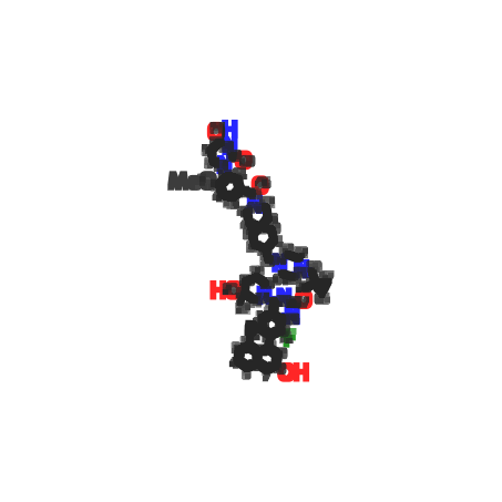 C#Cc1cccc2cc(O)cc(-c3ccc4c(N5CCC[C@@](C)(O)C5)nc(OCC5(CN6CCN(CC7CCC8(CC7)CCN(C(=O)c7ccc(OC)c(N9CCC(=O)NC9=O)c7)CC8)CC6)CC5)nc4c3F)c12